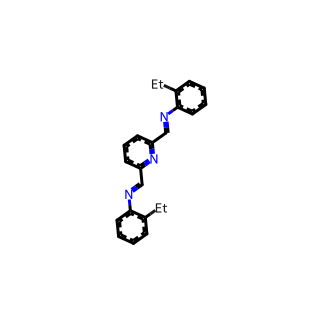 CCc1ccccc1/N=C/c1cccc(/C=N/c2ccccc2CC)n1